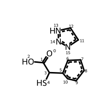 O=C(O)C(S)c1ccccc1.c1c[nH]nn1